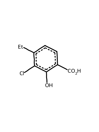 CCc1ccc(C(=O)O)c(O)c1Cl